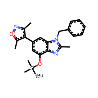 Cc1noc(C)c1-c1cc(O[Si](C)(C)C(C)(C)C)c2nc(C)n(Cc3ccccc3)c2c1